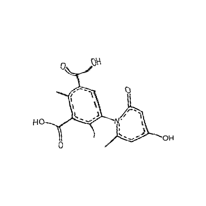 Cc1c(C(=O)O)cc(-n2c(C)cc(O)cc2=O)c(C)c1C(=O)O